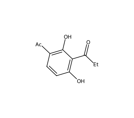 CCC(=O)c1c(O)ccc(C(C)=O)c1O